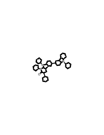 O=c1c(-c2ccccc2)cc2c3cc(-c4ccc5c(c4)c4ccccc4n5-c4ccccc4)ccc3n(-c3ccccc3)c2n1-c1ccccc1